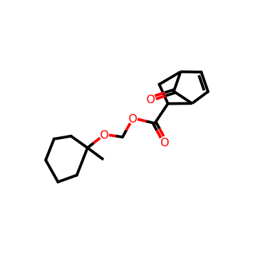 CC1(OCOC(=O)C2CC3C=CC2C3=O)CCCCC1